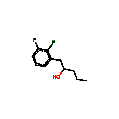 CCCC(O)Cc1cccc(F)c1F